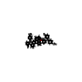 CC(C)(C)c1ccc(N(c2cccc(F)c2)c2ccc3c(c2)C(C)(C)c2c-3ccc3c2C2(c4cc(N(c5ccc(C(C)(C)C)cc5)c5cccc(F)c5)c5ccccc5c4-3)C3CC4CC(C3)CC2C4)cc1